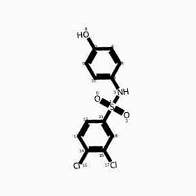 O=S(=O)(Nc1ccc(O)cc1)c1ccc(Cl)c(Cl)c1